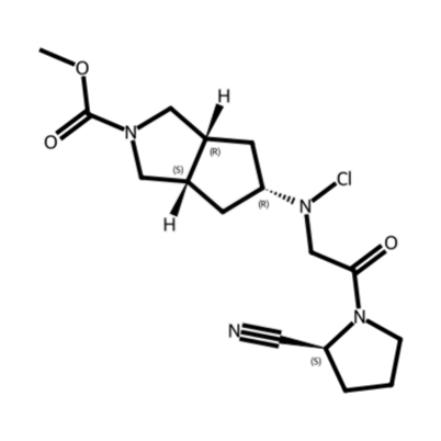 COC(=O)N1C[C@H]2C[C@@H](N(Cl)CC(=O)N3CCC[C@H]3C#N)C[C@H]2C1